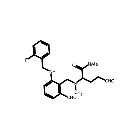 CNC(=O)C(CCC=O)N(C)Cc1c(C=O)cccc1NCc1ccccc1F